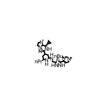 CCCCN1CN(C)CC=C1C1NNC(CNC2CC(C(=O)N[C@@H](C3CC3)C3NCCN3C)CC(CCC)N2)N1C